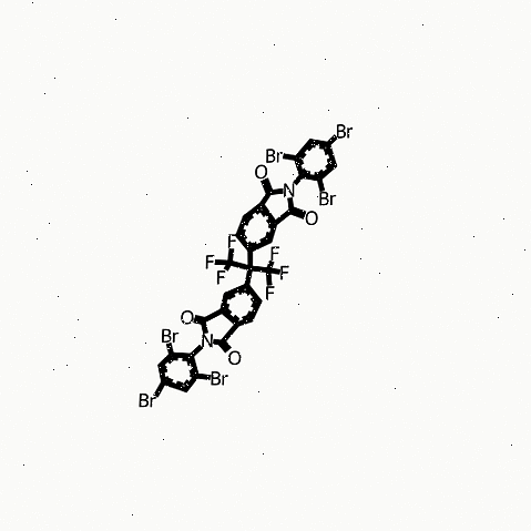 O=C1c2ccc(C(c3ccc4c(c3)C(=O)N(c3c(Br)cc(Br)cc3Br)C4=O)(C(F)(F)F)C(F)(F)F)cc2C(=O)N1c1c(Br)cc(Br)cc1Br